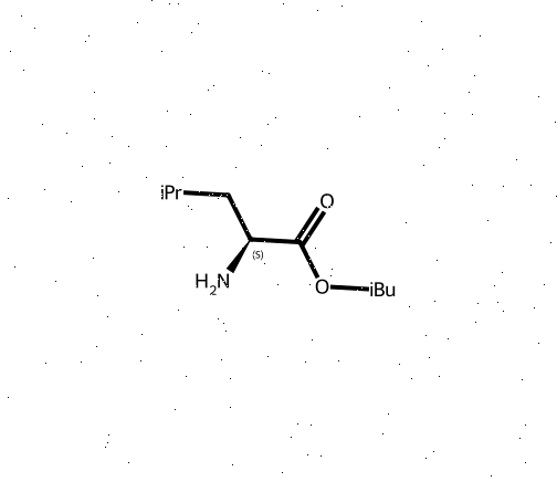 CCC(C)OC(=O)[C@@H](N)CC(C)C